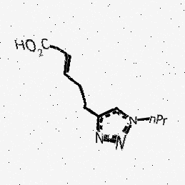 CCCn1cc(CC/C=C/C(=O)O)nn1